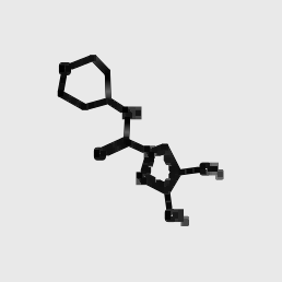 Cc1cn(C(=O)NC2CCOCC2)nc1C